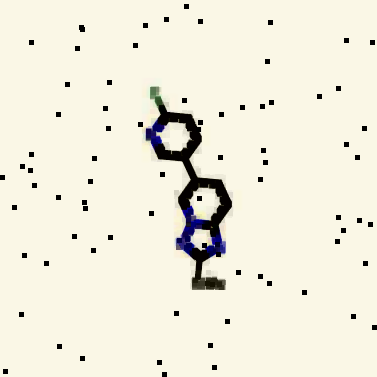 CC(=O)Nc1nc2ccc(-c3ccc(F)nc3)cn2n1